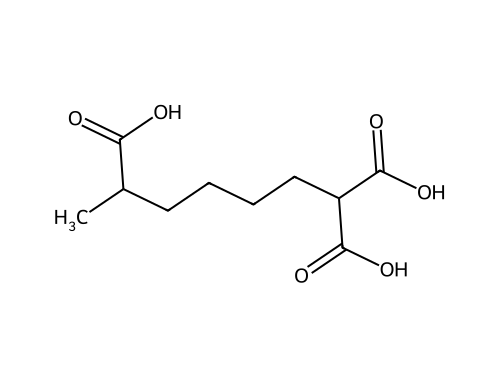 CC(CCCCC(C(=O)O)C(=O)O)C(=O)O